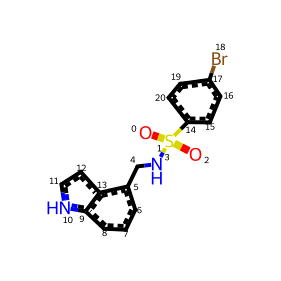 O=S(=O)(NCc1cccc2[nH]ccc12)c1ccc(Br)cc1